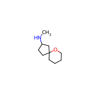 CNC1CCC2(CCCCO2)C1